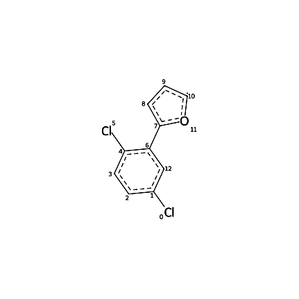 Clc1ccc(Cl)c(-c2cc[c]o2)c1